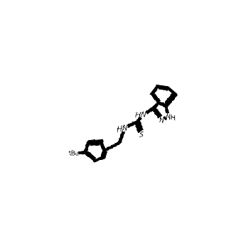 CC(C)(C)c1ccc(CNC(=S)Nc2n[nH]c3ccccc23)cc1